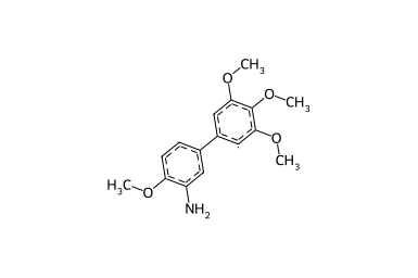 COc1[c]c(-c2ccc(OC)c(N)c2)cc(OC)c1OC